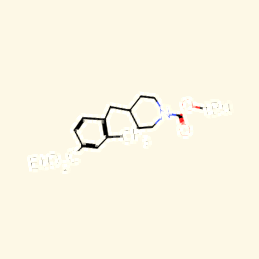 CCOC(=O)c1ccc(CC2CCN(C(=O)OC(C)(C)C)CC2)c(C(F)(F)F)c1